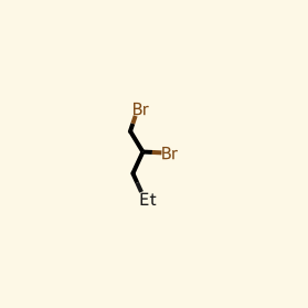 CCCC(Br)CBr